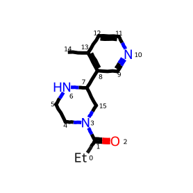 CCC(=O)N1CCNC(c2cnccc2C)C1